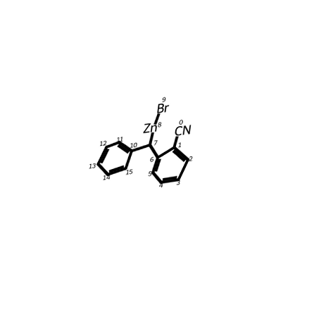 N#Cc1ccccc1[CH]([Zn][Br])c1ccccc1